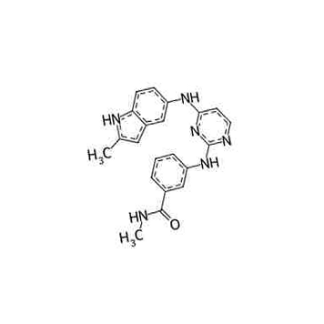 CNC(=O)c1cccc(Nc2nccc(Nc3ccc4[nH]c(C)cc4c3)n2)c1